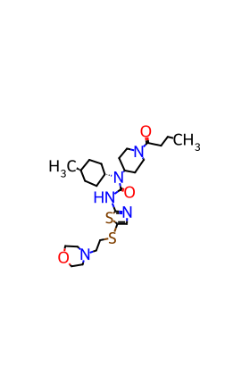 CCCC(=O)N1CCC(N(C(=O)Nc2ncc(SCCN3CCOCC3)s2)[C@H]2CC[C@H](C)CC2)CC1